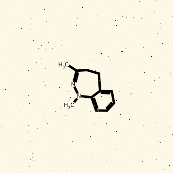 CC1=NN(C)c2ccccc2CC1